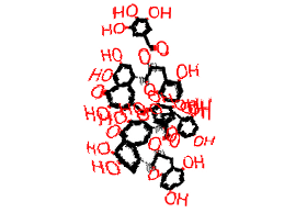 O=C(O[C@H]1Cc2c(O)cc(O)cc2O[C@@H]1c1cc(O)c(O)c2c(=O)c(O)cc(C(=O)O[C@@H]3Cc4c(O)cc(O)cc4O[C@@H]3c3cc(O)c(=O)c4c(O)c(O)cc([C@H]5Oc6cc(O)cc(O)c6C[C@H]5OC(=O)c5cc(O)c(O)c(O)c5)c4c3)cc12)c1cc(O)c(O)c(O)c1